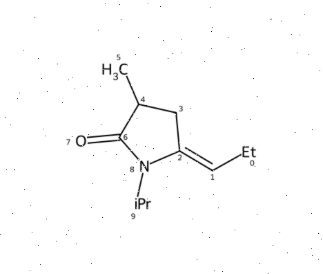 CC/C=C1\CC(C)C(=O)N1C(C)C